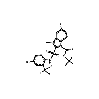 Cc1c(S(=O)(=O)Nc2ccc(Br)cc2C(F)(F)F)n(C(=O)OC(C)(C)C)c2ccc(F)cc12